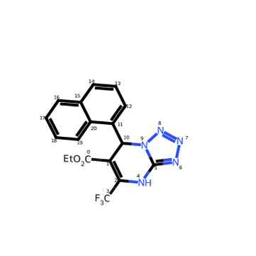 CCOC(=O)C1=C(C(F)(F)F)Nc2nnnn2C1c1cccc2ccccc12